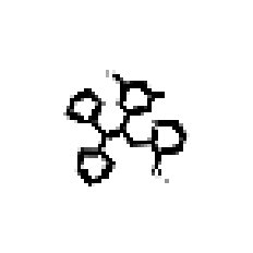 Cc1cccnc1CC(=C(c1ccccc1)c1ccccc1)c1cc(F)cc(Cl)c1